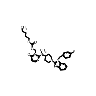 CCCCCOC(=O)OCn1c(N(C)C2CCN(c3nc4ccccc4n3Cc3ccc(F)cc3)CC2)nccc1=O